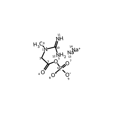 CN(CC(=O)OP(=O)([O-])[O-])C(=N)N.[Na+].[Na+]